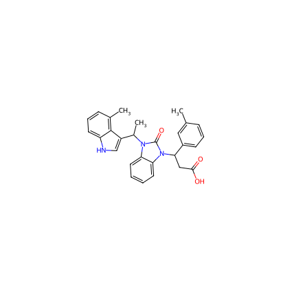 Cc1cccc(C(CC(=O)O)n2c(=O)n(C(C)c3c[nH]c4cccc(C)c34)c3ccccc32)c1